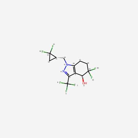 O[C@H]1c2c(C(F)(F)F)nn(C[C@@H]3CC3(F)F)c2CCC1(F)F